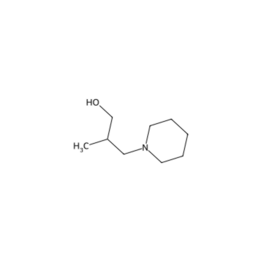 CC(CO)CN1CCCCC1